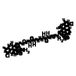 Cc1cc(Cl)cc2c1CN(C)CC2c1c(C)ccc(S(N)(=O)=O)c1[C@H]1CCN(CCOCCNC(=O)NCCCCNC(=O)NCCOCCN2CC[C@H](c3c(S(N)(=O)=O)ccc(C)c3C3CN(C)Cc4c(C)cc(Cl)cc43)C2)C1